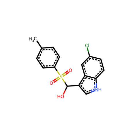 Cc1ccc(S(=O)(=O)C(O)c2c[nH]c3ccc(Cl)cc23)cc1